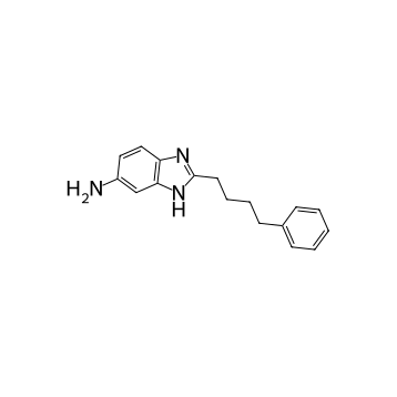 Nc1ccc2nc(CCCCc3ccccc3)[nH]c2c1